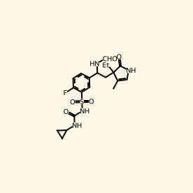 CCC1(CC(NC=O)c2ccc(F)c(S(=O)(=O)NC(=O)NC3CC3)c2)C(=O)NC=C1C